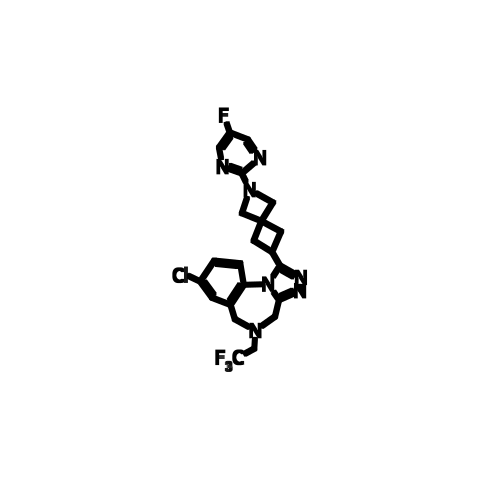 Fc1cnc(N2CC3(CC(c4nnc5n4-c4ccc(Cl)cc4CN(CC(F)(F)F)C5)C3)C2)nc1